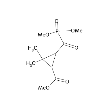 COC(=O)C1C(C(=O)P(=O)(OC)OC)C1(C)C